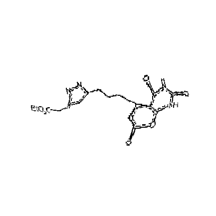 CCOC(=O)Cn1cc(CCCc2cc(=O)oc3[nH]c(=O)[nH]c(=O)c23)nn1